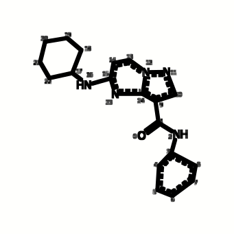 O=C(Nc1ccccc1)c1cnn2ccc(NC3CCCCC3)nc12